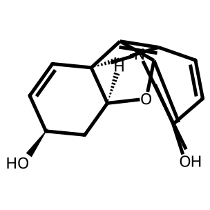 CN1CC[C@@]23C=C[C@H](O)C[C@@H]2Oc2c(O)ccc(c23)C1